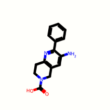 Nc1cc2c(nc1-c1ccccc1)CCN(C(=O)O)C2